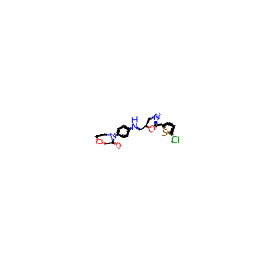 O=C1COCCN1c1ccc(NCC2CN=C(c3ccc(Cl)s3)O2)cc1